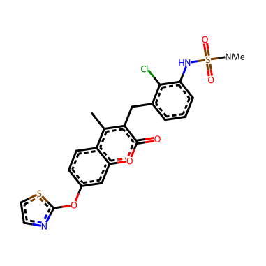 CNS(=O)(=O)Nc1cccc(Cc2c(C)c3ccc(Oc4nccs4)cc3oc2=O)c1Cl